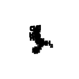 Nc1nc2cc(NC(=O)Nc3ccc(Cl)c(Cl)c3)ccc2n1CCCc1ccccc1